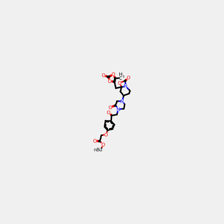 CCCCOC(=O)COc1ccc(C(=O)CN2CCN(C3CCN4C(=O)OC4(Cc4oc(=O)oc4C)C3)CC2=O)cc1